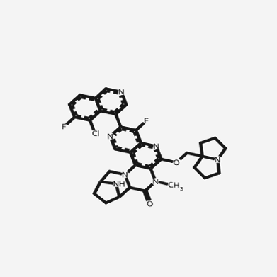 CN1C(=O)C2C3CCC(CN2c2c1c(OCC14CCCN1CCC4)nc1c(F)c(-c4cncc5ccc(F)c(Cl)c45)ncc21)N3